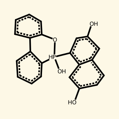 Oc1cc([PH]2(O)Oc3ccccc3-c3ccccc32)c2cc(O)ccc2c1